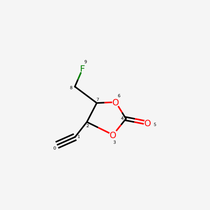 C#CC1OC(=O)OC1CF